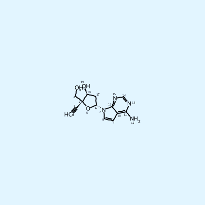 C#C[C@]1(CO)O[C@@H](n2ccc3c(N)ncnc32)C[C@@H]1O